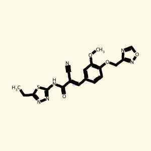 CCc1nnc(NC(=O)/C(C#N)=C/c2ccc(OCc3ncon3)c(OC)c2)s1